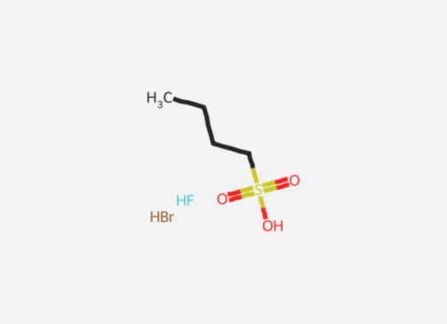 Br.CCCCS(=O)(=O)O.F